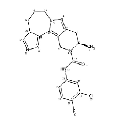 C[C@@H]1Cc2nn3c(c2CN1C(=O)Nc1ccc(F)c(Cl)c1)-c1nncn1CCC3